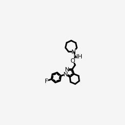 Fc1ccc(-n2nc(CONN3CCCCCC3)c3c2CCCC3)cc1